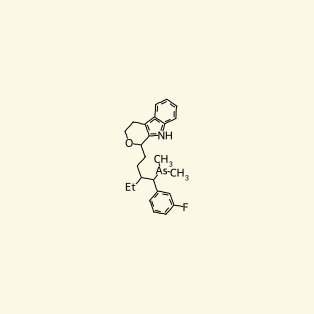 CCC(CCC1OCCc2c1[nH]c1ccccc21)C(c1cccc(F)c1)[As](C)C